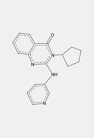 O=c1c2ccccc2nc(Nc2cccnc2)n1C1CCCC1